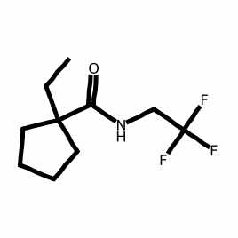 CCC1(C(=O)NCC(F)(F)F)CCCC1